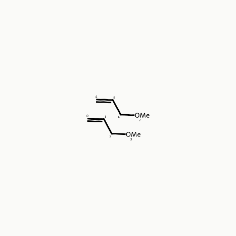 C=CCOC.C=CCOC